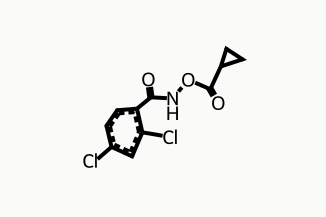 O=C(NOC(=O)C1CC1)c1ccc(Cl)cc1Cl